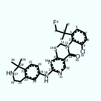 CC(C)(CF)c1cccc(Cl)c1N1CSc2nc(Nc3ccc4c(c3)CCNC4(C)C)ncc2C1=O